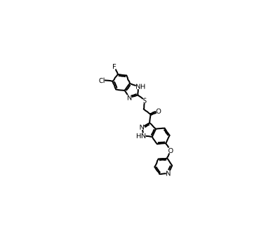 O=C(CSc1nc2cc(Cl)c(F)cc2[nH]1)c1n[nH]c2cc(Oc3cccnc3)ccc12